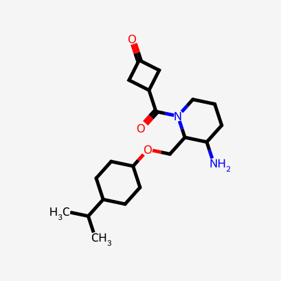 CC(C)C1CCC(OCC2C(N)CCCN2C(=O)C2CC(=O)C2)CC1